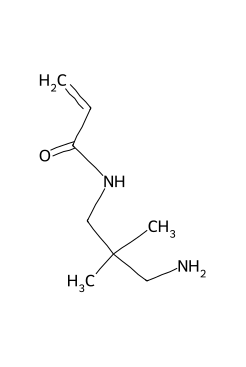 C=CC(=O)NCC(C)(C)CN